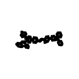 Cc1ccc(N(c2ccc(-c3ccc(/C=C/c4ccc(-c5ccc(N(c6ccccc6)c6ccccc6)cc5)cc4)cc3)cc2)c2cc3ccccc3c3ccccc23)cc1